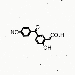 N#Cc1ccc(C(=O)c2ccc(O)c(CC(=O)O)c2)cc1